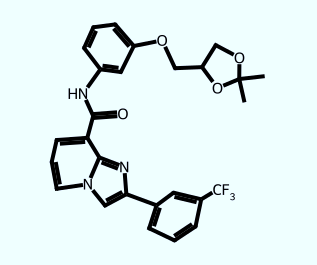 CC1(C)OCC(COc2cccc(NC(=O)c3cccn4cc(-c5cccc(C(F)(F)F)c5)nc34)c2)O1